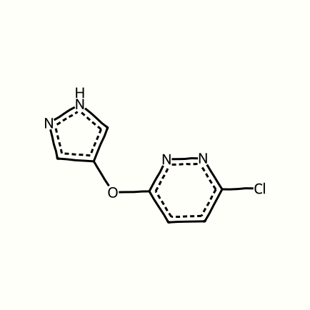 Clc1ccc(Oc2cn[nH]c2)nn1